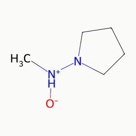 C[NH+]([O-])N1CCCC1